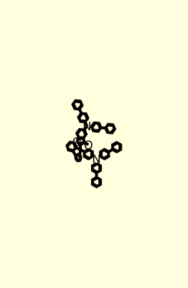 c1ccc(-c2ccc(N(c3ccc(-c4ccccc4)cc3)c3ccc4c(c3)Oc3c(oc5ccc(N(c6ccc(-c7ccccc7)cc6)c6ccc(-c7ccccc7)cc6)cc35)C43c4ccccc4-c4ccccc43)cc2)cc1